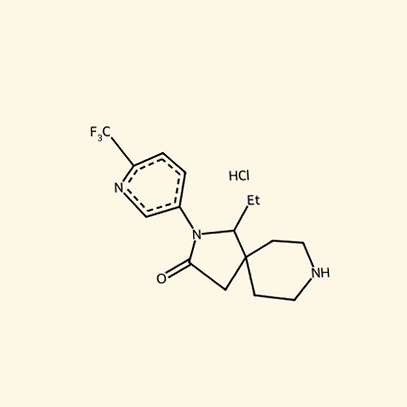 CCC1N(c2ccc(C(F)(F)F)nc2)C(=O)CC12CCNCC2.Cl